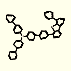 C1=CC(c2ccccc2)CC=C1N(c1ccc(-c2ccccc2)cc1)c1ccc(-c2ccc(-c3cccc4c3oc3c(-c5ccccc5)cccc34)cc2)cc1